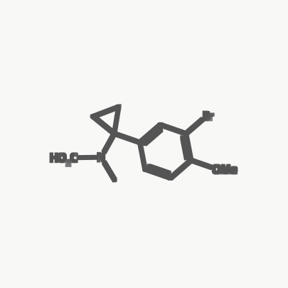 COc1ccc(C2(N(C)C(=O)O)CC2)cc1Br